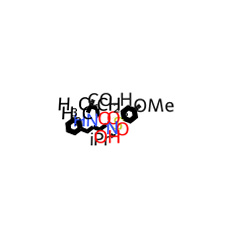 COc1ccc(S(=O)(=O)N(CC(C)C)CC(O)C(Cc2ccccc2)NC(=O)C(C)C(C)(C)C(=O)O)cc1